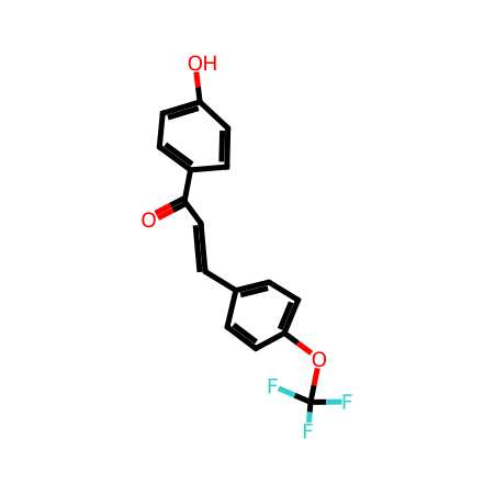 O=C(C=Cc1ccc(OC(F)(F)F)cc1)c1ccc(O)cc1